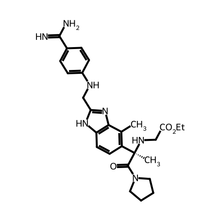 CCOC(=O)CN[C@@](C)(C(=O)N1CCCC1)c1ccc2[nH]c(CNc3ccc(C(=N)N)cc3)nc2c1C